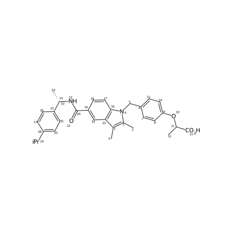 Cc1c(C)n(Cc2ccc(OC(C)C(=O)O)cc2)c2ccc(C(=O)N[C@@H](C)c3ccc(C(C)C)cc3)cc12